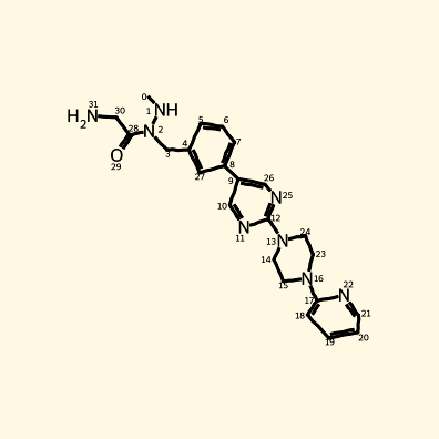 CNN(Cc1cccc(-c2cnc(N3CCN(c4ccccn4)CC3)nc2)c1)C(=O)CN